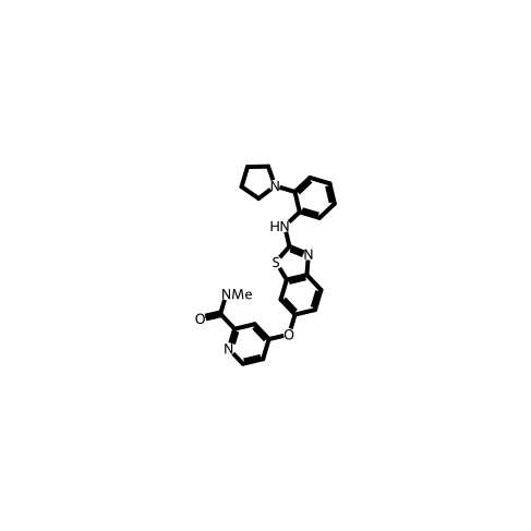 CNC(=O)c1cc(Oc2ccc3nc(Nc4ccccc4N4CCCC4)sc3c2)ccn1